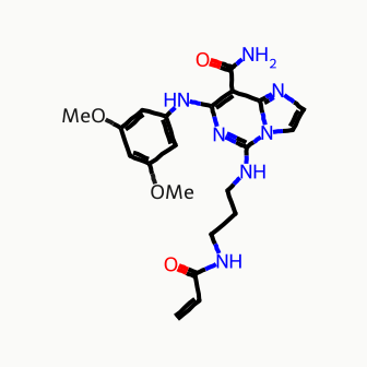 C=CC(=O)NCCCNc1nc(Nc2cc(OC)cc(OC)c2)c(C(N)=O)c2nccn12